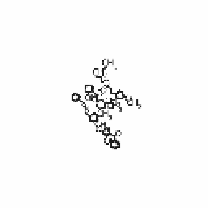 C(=N\N=C\c1ccccc1)/c1ccccc1.CC1CC(OC(=O)c2ccccc2O)CC(C)(C)C1.CCCCC(CC)COC(=O)/C=C/c1ccc(OC)cc1.COc1ccc(C(=O)c2ccccc2)c(O)c1